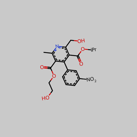 Cc1nc(CO)c(C(=O)OC(C)C)c(-c2cccc([N+](=O)[O-])c2)c1C(=O)OCCO